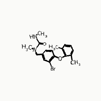 CNC(=O)N(C)Cc1ccc(Oc2c(C)cccc2C)c(Br)c1